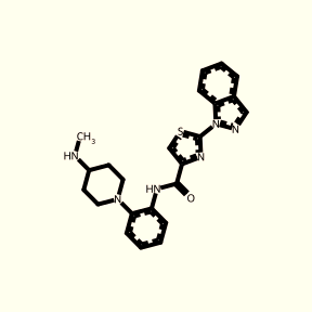 CNC1CCN(c2ccccc2NC(=O)c2csc(-n3ncc4ccccc43)n2)CC1